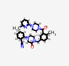 Cc1cccc(N2CCN(C(=O)c3cc(CN4CCN(c5ccccc5C#N)CC4=O)ccc3C)CC2)n1